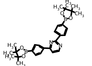 CC1(C)OB(c2ccc(-c3ccnc(-c4ccc(B5OC(C)(C)C(C)(C)O5)cc4)n3)cc2)OC1(C)C